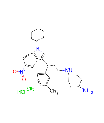 Cc1cccc(C(CCNC2CCC(N)CC2)c2cn(C3CCCCC3)c3ccc([N+](=O)[O-])cc23)c1.Cl.Cl